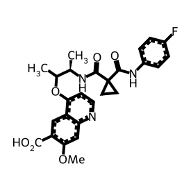 COc1cc2nccc(OC(C)[C@@H](C)NC(=O)C3(C(=O)Nc4ccc(F)cc4)CC3)c2cc1C(=O)O